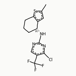 Cc1cc2c(s1)CCC[C@H]2Nc1ncc(C(F)(F)F)c(Cl)n1